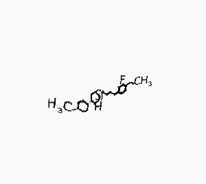 CCCc1ccc(CCCC[SiH]2CCC([C@H]3CC[C@H](CC)CC3)CC2)cc1F